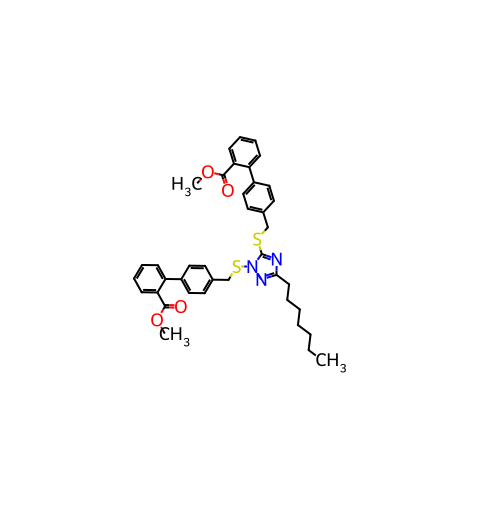 CCCCCCCc1nc(SCc2ccc(-c3ccccc3C(=O)OC)cc2)n(SCc2ccc(-c3ccccc3C(=O)OC)cc2)n1